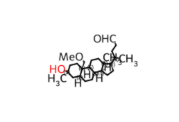 COC[C@]12CC[C@](C)(O)C[C@@H]1CC[C@H]1[C@@H]3CC[C@H]([C@H](C)CCC=O)[C@@]3(C)CC[C@@H]12